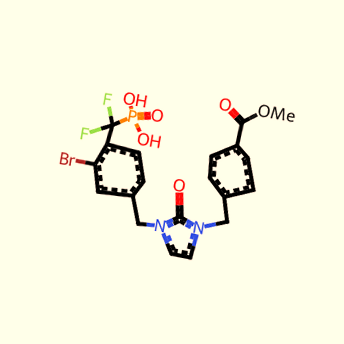 COC(=O)c1ccc(Cn2ccn(Cc3ccc(C(F)(F)P(=O)(O)O)c(Br)c3)c2=O)cc1